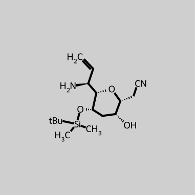 C=C[C@H](N)[C@@H]1O[C@H](CC#N)[C@H](O)C[C@@H]1O[Si](C)(C)C(C)(C)C